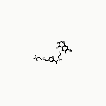 CC(NCCOc1c(Cl)c(Br)cc2nc[nH]c(=O)c12)c1cn(COCC[Si](C)(C)C)cn1